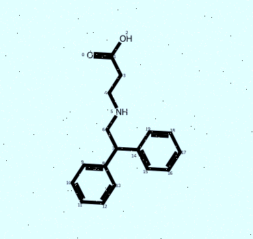 O=C(O)CCNCC(c1ccccc1)c1ccccc1